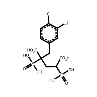 O=C(O)C(CC(Cc1ccc(Cl)c(Cl)c1)(C(=O)O)P(=O)(O)O)P(=O)(O)O